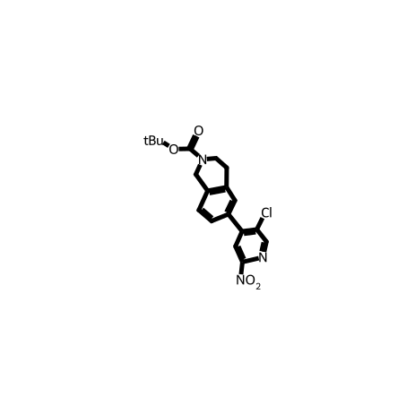 CC(C)(C)OC(=O)N1CCc2cc(-c3cc([N+](=O)[O-])ncc3Cl)ccc2C1